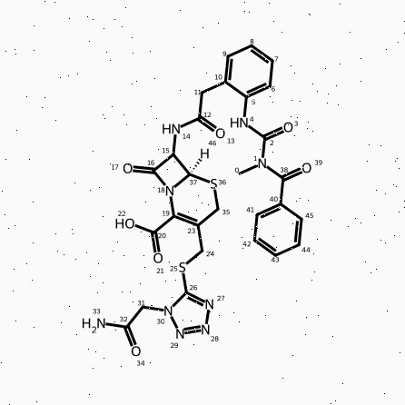 CN(C(=O)Nc1ccccc1CC(=O)NC1C(=O)N2C(C(=O)O)=C(CSc3nnnn3CC(N)=O)CS[C@H]12)C(=O)c1ccccc1